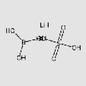 O=S(=O)(O)O.OB(O)O.[LiH]